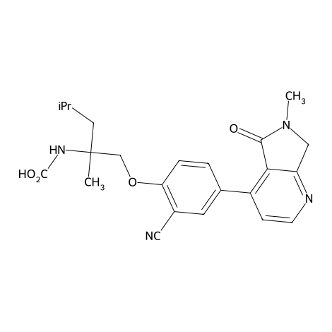 CC(C)CC(C)(COc1ccc(-c2ccnc3c2C(=O)N(C)C3)cc1C#N)NC(=O)O